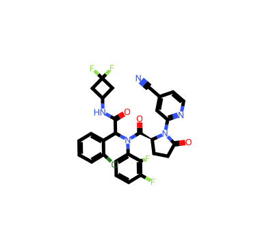 N#Cc1ccnc(N2C(=O)CC[C@H]2C(=O)N(c2cccc(F)c2F)C(C(=O)NC2CC(F)(F)C2)c2ccccc2Cl)c1